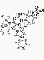 CNC(=O)O[C@H](C(=O)N[C@@H](Cc1ccc(NS(=O)(=O)O)cc1)c1nc(-c2ccccc2)cs1)C(c1ccccc1)C(C)(C)C